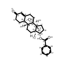 C[C@]12CC[C@H]3[C@@H](CCC4=CC(=O)CC[C@@]43C)[C@@H]1CC[C@@H]2OC(=O)c1ccccc1